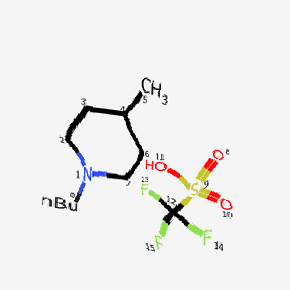 CCCCN1CCC(C)CC1.O=S(=O)(O)C(F)(F)F